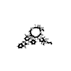 CCCNC[C@]1(O)[C@H](C)O[C@@H](O[C@H]2[C@H](C)[C@@H](O[C@@H]3O[C@H](C)C[C@H](N(C)C(=O)N(C)c4ccccc4)[C@H]3Oc3ccccc3)[C@](C)(O)C[C@@H](C)CN[C@H](C)[C@@H](O)[C@](C)(O)[C@@H](CC)OC(=O)[C@@H]2C)C[C@@]1(C)OC